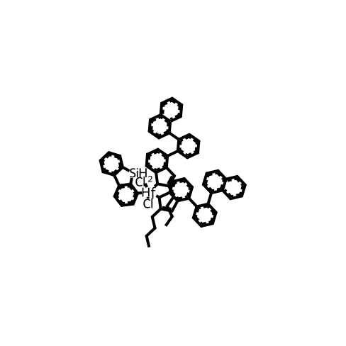 CCCCC1=Cc2c(-c3ccccc3-c3cccc4ccccc34)cccc2[CH]1[Hf]([Cl])([Cl])([c]1cccc2c1[SiH2]c1ccccc1-2)[CH]1C(CCCC)=Cc2c(-c3ccccc3-c3cccc4ccccc34)cccc21